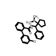 CN(C)C1(C(NC(=O)c2ccccc2-c2cccc(Cl)c2)c2ccccc2)CCCC1